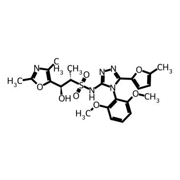 COc1cccc(OC)c1-n1c(NS(=O)(=O)[C@@H](C)[C@@H](O)c2oc(C)nc2C)nnc1-c1ccc(C)o1